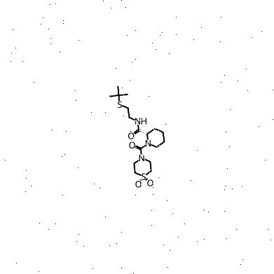 CC(C)(C)SCCNC(=O)[C@@H]1CCCCN1C(=O)N1CCS(=O)(=O)CC1